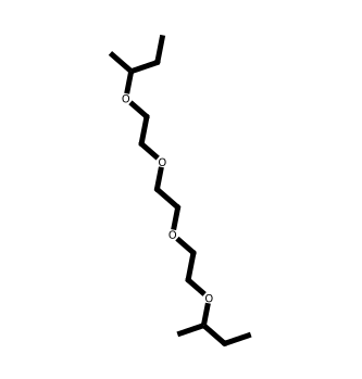 CCC(C)OCCOCCOCCOC(C)CC